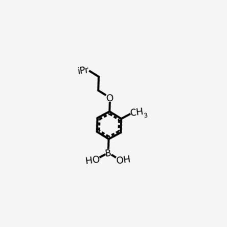 Cc1cc(B(O)O)ccc1OCCC(C)C